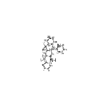 CC1(C)c2ccccc2Nc2cc3c(cc21)C(C)(C)c1ccccc1N3c1ccccn1